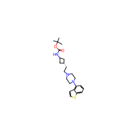 CC(C)(C)OC(=O)N[C@H]1C[C@H](CCN2CCN(c3cccc4sccc34)CC2)C1